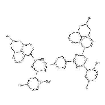 Oc1ccc(Cl)cc1-c1nc(-c2ccc(-c3nc(-c4cc(Cl)ccc4O)nc(-c4ccc5c6c(cccc46)C=C(Br)C5)n3)cc2)nc(-c2ccc3c4c(cccc24)CC(Br)=C3)n1